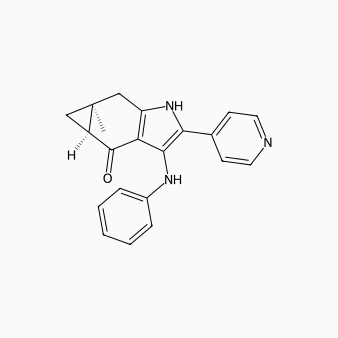 C[C@]12Cc3[nH]c(-c4ccncc4)c(Nc4ccccc4)c3C(=O)[C@H]1C2